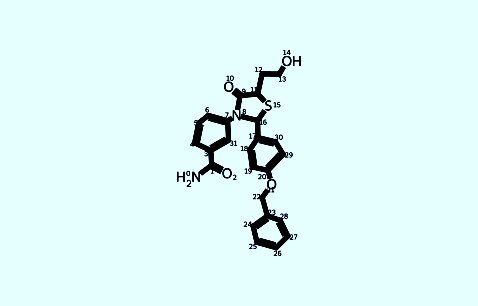 NC(=O)c1cccc(N2C(=O)C(CCO)SC2c2ccc(OCc3ccccc3)cc2)c1